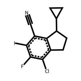 N#Cc1c(I)c(F)c(Cl)c2c1C(C1CC1)CC2